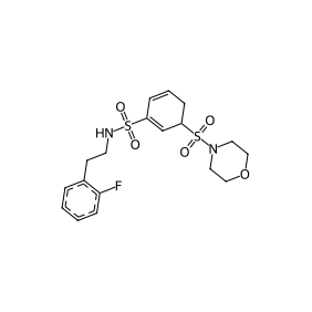 O=S(=O)(NCCc1ccccc1F)C1=CC(S(=O)(=O)N2CCOCC2)CC=C1